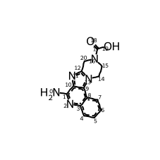 Nc1nc2ccccc2c2c1nc1n2CCN(C(=O)O)C1